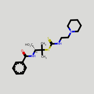 CC(C)(SC(=S)NCCN1CCCCC1)[C@H](NC(=O)c1ccccc1)C(=O)O